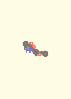 Cc1cc(NC(=O)NC(=O)c2ccccc2Cl)ccc1OCc1ccccc1